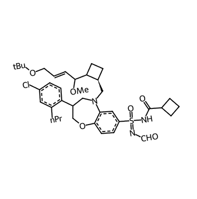 CCCc1cc(Cl)ccc1C1COc2ccc(S(=O)(=NC=O)NC(=O)C3CCC3)cc2N(C[C@@H]2CCC2C(/C=C/COC(C)(C)C)OC)C1